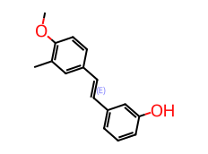 COc1ccc(/C=C/c2cccc(O)c2)cc1C